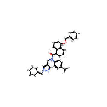 CC(C)c1ccc(N(Cc2cnn(CC3CCCCC3)c2)C(=O)C2CCCc3c(OCc4ccccc4)cccc32)cc1